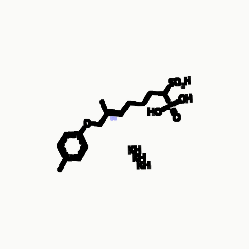 C/C(=C\CCCC(P(=O)(O)O)S(=O)(=O)O)COc1ccc(C)cc1.[KH].[KH].[KH]